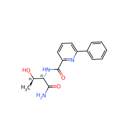 C[C@@H](O)[C@H](NC(=O)c1cccc(-c2ccccc2)n1)C(N)=O